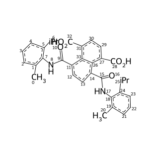 Cc1cccc(C(C)C)c1NC(=O)c1ccc(C(=O)Nc2c(C)cccc2C(C)C)c2c(C(=O)O)ccc(C(=O)O)c12